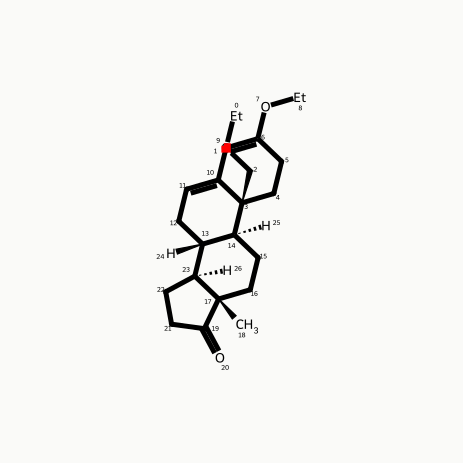 CCOC[C@]12CCC(OCC)=CC1=CC[C@@H]1[C@@H]2CC[C@]2(C)C(=O)CC[C@@H]12